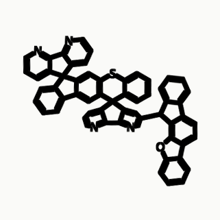 c1ccc2c(c1)Sc1cc3c(cc1C21c2cccnc2-c2ncc(C4c5ccccc5-c5ccc6c(oc7ccccc76)c54)cc21)-c1ccccc1C31c2cccnc2-c2ncccc21